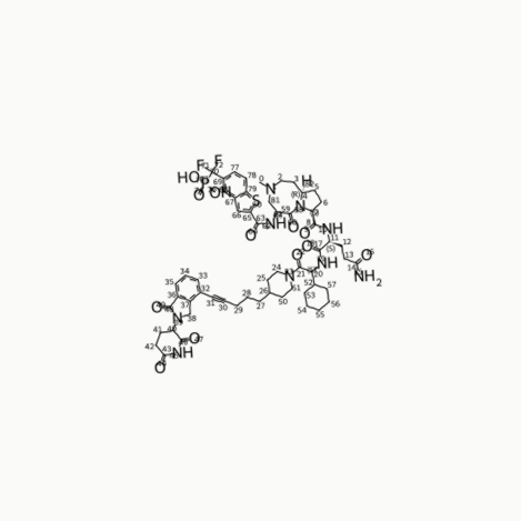 CN1CC[C@H]2CC[C@@H](C(=O)N[C@@H](CCC(N)=O)C(=O)N[C@H](C(=O)N3CCC(CCCC#Cc4cccc5c4CN(C4CCC(=O)NC4=O)C5=O)CC3)C3CCCCC3)N2C(=O)[C@@H](NC(=O)c2cc3cc(C(F)(F)P(=O)(O)O)ccc3s2)C1